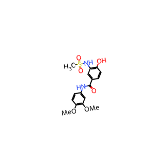 COc1ccc(NC(=O)c2ccc(O)c(NS(C)(=O)=O)c2)cc1OC